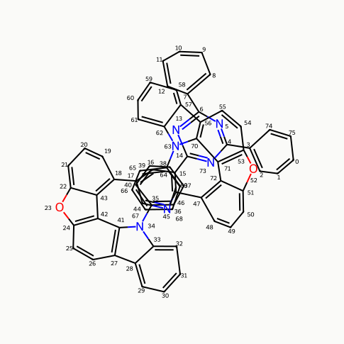 c1ccc(-c2nc(-c3ccccc3)nc(-c3cc(-c4cccc5oc6ccc7c8ccccc8n(-c8ccccc8)c7c6c45)cnc3-c3cccc4oc5ccc6c7ccccc7n(-c7ccccc7)c6c5c34)n2)cc1